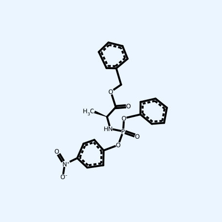 C[C@H](NP(=O)(Oc1ccccc1)Oc1ccc([N+](=O)[O-])cc1)C(=O)OCc1ccccc1